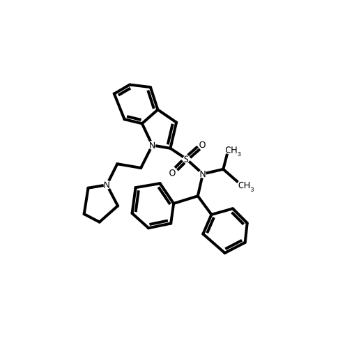 CC(C)N(C(c1ccccc1)c1ccccc1)S(=O)(=O)c1cc2ccccc2n1CCN1CCCC1